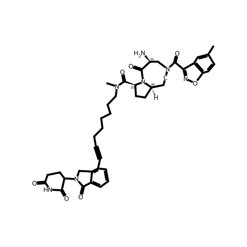 Cc1ccc2onc(C(=O)N3CC[C@H]4CC[C@@H](C(=O)N(C)CCCCCCC#Cc5cccc6c5CN(C5CCC(=O)NC5=O)C6=O)N4C(=O)[C@@H](N)C3)c2c1